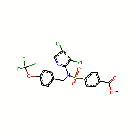 COC(=O)c1ccc(S(=O)(=O)N(Cc2ccc(OC(F)(F)F)cc2)c2ncc(Cl)cc2Cl)cc1